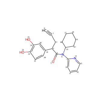 C#CCC(C(=O)N(c1ccccn1)C1CCCCC1)c1ccc(O)c(O)c1